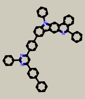 c1ccc(-c2ccc(-c3cc(-c4ccc(-c5ccc6c(c5)c5cc7nc(-c8ccccc8)c8ccccc8c7cc5n6-c5ccccc5)cc4)nc(-c4ccccc4)n3)cc2)cc1